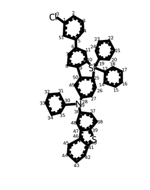 Clc1cccc(-c2ccc3c(c2)[Si](c2ccccc2)(c2ccccc2)c2ccc(N(c4ccccc4)c4ccc5sc6ccccc6c5c4)cc2-3)c1